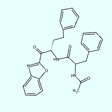 CC(=O)NC(Cc1ccccc1)C(=O)N[C@@H](CCc1ccccc1)C(=O)c1nc2ccccc2o1